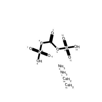 N.N.O=C(OS(=O)(=O)O)OS(=O)(=O)O.[CaH2].[CaH2]